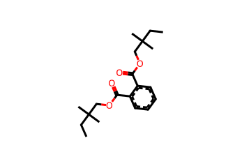 CCC(C)(C)COC(=O)c1ccccc1C(=O)OCC(C)(C)CC